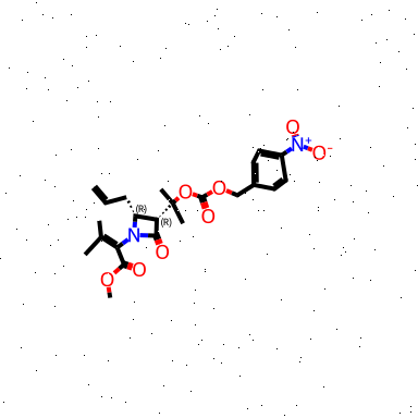 C=CC[C@@H]1[C@H](C(C)(C)OC(=O)OCc2ccc([N+](=O)[O-])cc2)C(=O)N1C(C(=O)OC)=C(C)C